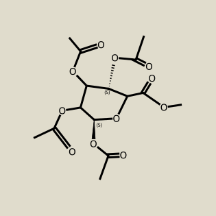 COC(=O)C1O[C@@H](OC(C)=O)C(OC(C)=O)C(OC(C)=O)[C@@H]1OC(C)=O